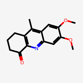 COc1cc2nc3c(c(C)c2cc1OC)CCCC3=O